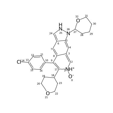 [O-][NH+]1C=c2cc3c(cc2C(c2ccc(Cl)cc2)=C1C1CCOCC1)=CNN3C1CCCCO1